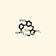 COc1ccc(Cc2c(C)nn(CC(F)(F)F)c2C)cc1-c1cccc(NO)c1